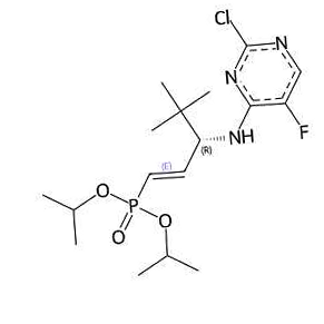 CC(C)OP(=O)(/C=C/[C@@H](Nc1nc(Cl)ncc1F)C(C)(C)C)OC(C)C